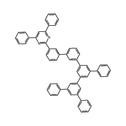 c1ccc(-c2cc(-c3ccccc3)cc(-c3cc(-c4ccccc4)cc(-c4cccc(-c5cccc(-c6nc(-c7ccccc7)cc(-c7ccccc7)n6)c5)c4)c3)c2)cc1